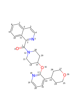 O=C(c1nccc2ccccc12)N1CCC(Oc2ncccc2C2CCOCC2)CC1